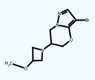 COC1CN(C2COc3c(Br)cnn3C2)C1